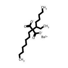 CCCCCCCCC(C(=O)[O-])(C(=O)[O-])C(CC)CCCCC.[Ba+2]